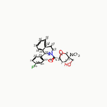 O=C([C@H]1CC[C@@](CO)([N+](=O)[O-])CO1)N1CCc2ccccc2[C@@H]1c1ccc(F)cc1